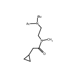 CCC(C)N(CCN(C)C(=O)CC1CC1)C(C)=O